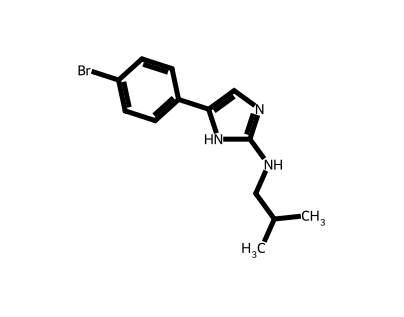 CC(C)CNc1ncc(-c2ccc(Br)cc2)[nH]1